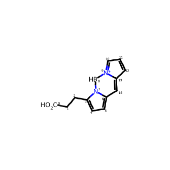 O=C(O)CCc1ccc2n1B[N+]1=CC=CC1=C2